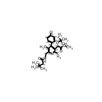 COC(=O)[C@@H](OC(C)(C)C)c1c(C)nc(CNC(=O)CC(C)(C)C)c(C)c1-c1ccc(Cl)cc1